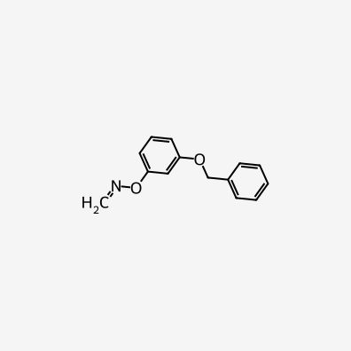 C=NOc1cccc(OCc2ccccc2)c1